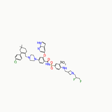 CC1(C)CCC(CN2CCN(c3ccc(C(=O)NS(=O)(=O)c4ccc(NCC5CN(CC(F)CF)C5)c([N+](=O)[O-])c4)c(Oc4cnc5[nH]ccc5c4)c3)CC2)=C(c2ccc(Cl)cc2)C1